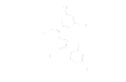 CCCN(c1cc(C)cc(C)c1)c1nc(-c2ccc(OC)cc2Cl)c(C)s1